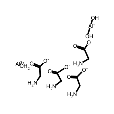 NCC(=O)[O-].NCC(=O)[O-].NCC(=O)[O-].NCC(=O)[O-].O.[Al+3].[OH][Al+][OH]